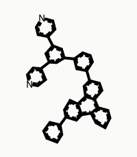 c1ccc(-c2ccc3c(c2)c2ccccc2c2ccc(-c4cccc(-c5cc(-c6ccncc6)cc(-c6ccncc6)c5)c4)cc23)cc1